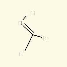 CC/C(Br)=N/O